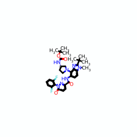 Cn1c(C(C)(C)C)nc2c(N3CC[C@H](NC(=O)OC(C)(C)C)C3)c(NC(=O)c3ccc(=O)n(-c4c(F)cccc4F)n3)ccc21